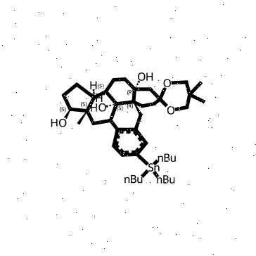 CCC[CH2][Sn]([CH2]CCC)([CH2]CCC)[c]1ccc2c(c1)C[C@]13CCC4(C[C@]1(O)CC[C@H]1[C@@H]5CC[C@H](O)[C@@]5(C)CC2[C@@]13O)OCC(C)(C)CO4